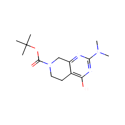 CN(C)c1nc(O)c2c(n1)CN(C(=O)OC(C)(C)C)CC2